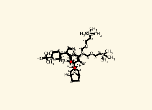 CC(C)(C)OC(=O)N1C2CC[C@@H]1CC(c1nc3c(-c4ccc(C(C)(C)O)nc4)cnn3c(N(COCC[Si](C)(C)C)COCC[Si](C)(C)C)c1Br)C2